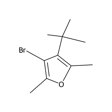 Cc1oc(C)c(C(C)(C)C)c1Br